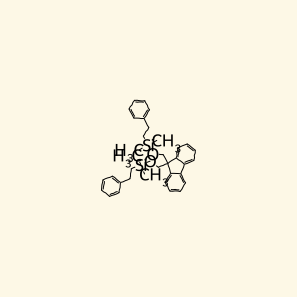 C[Si](C)(CCc1ccccc1)OCC1(CO[Si](C)(C)CCc2ccccc2)c2ccccc2-c2ccccc21